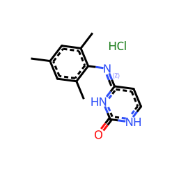 Cc1cc(C)c(/N=c2/cc[nH]c(=O)[nH]2)c(C)c1.Cl